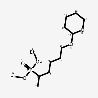 CCOP(=O)(OCC)C(C)CCCCOC1CCCCO1